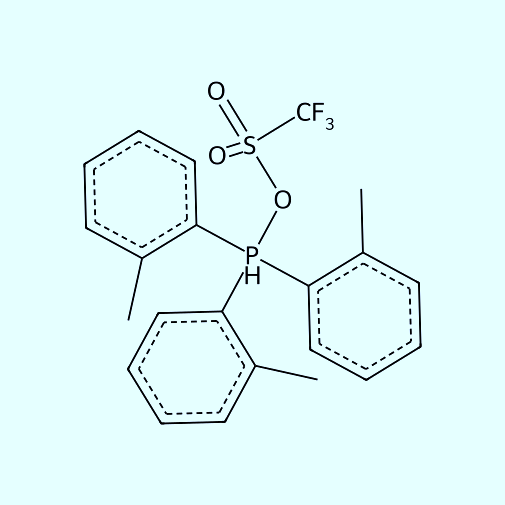 Cc1ccccc1[PH](OS(=O)(=O)C(F)(F)F)(c1ccccc1C)c1ccccc1C